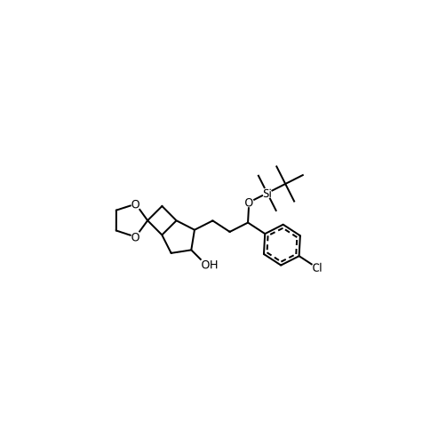 CC(C)(C)[Si](C)(C)OC(CCC1C(O)CC2C1CC21OCCO1)c1ccc(Cl)cc1